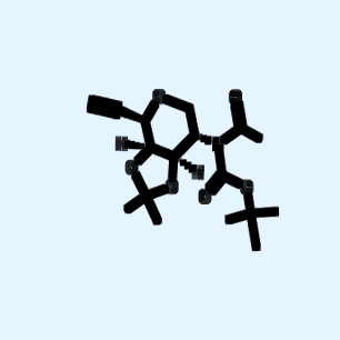 C#C[C@H]1OC[C@H](N(C(C)=O)C(=O)OC(C)(C)C)[C@H]2OC(C)(C)O[C@H]21